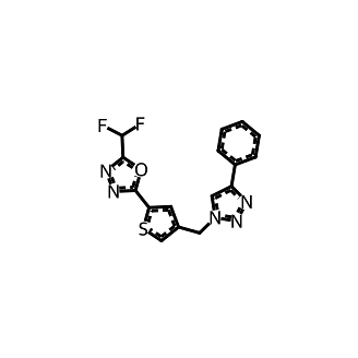 FC(F)c1nnc(-c2cc(Cn3cc(-c4ccccc4)nn3)cs2)o1